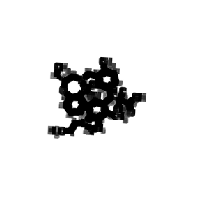 CCCn1nnc2c(C)c([C@H](c3ccc(C)c(CN4C[C@@H](CC)Oc5ccccc5S4(O)O)c3)C(C)(C)C(=O)O)ccc21